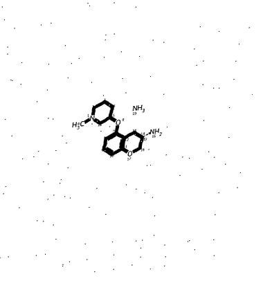 CN1CCCC(Oc2cccc3c2C[C@H](N)CO3)C1.N